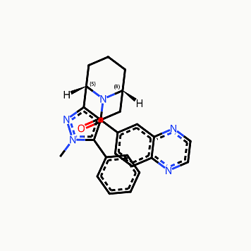 Cn1nc2c(c1-c1ccccc1)C[C@H]1CCC[C@@H]2N1C(=O)c1ccc2nccnc2c1